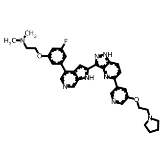 CN(C)CCOc1cc(F)cc(-c2cncc3[nH]c(-c4n[nH]c5ccc(-c6cncc(OCCN7CCCC7)c6)nc45)cc23)c1